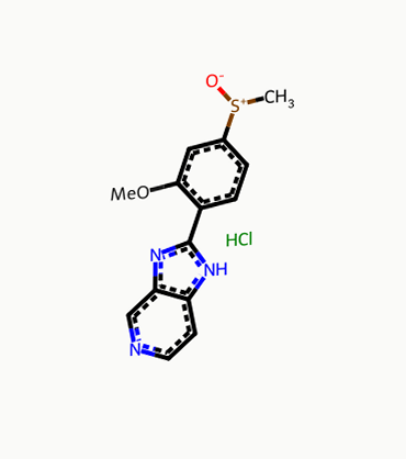 COc1cc([S+](C)[O-])ccc1-c1nc2cnccc2[nH]1.Cl